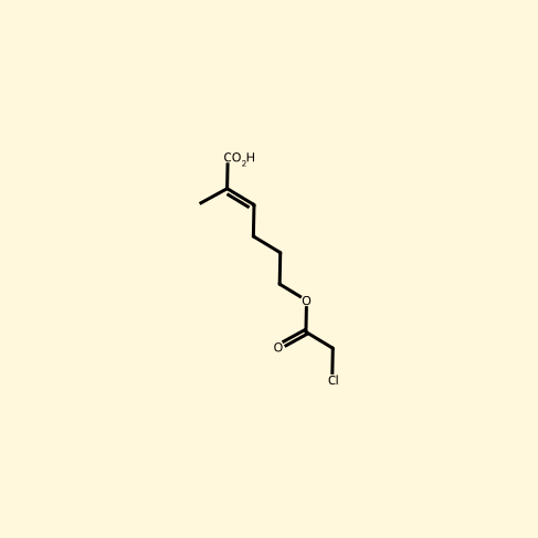 CC(=CCCCOC(=O)CCl)C(=O)O